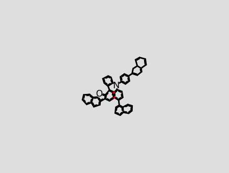 C1=CC2=CC=C(c3ccc(N(c4ccc(-c5cccc6ccccc56)cc4)c4ccccc4-c4cccc5c4oc4c6ccccc6ccc54)cc3)CC2C=C1